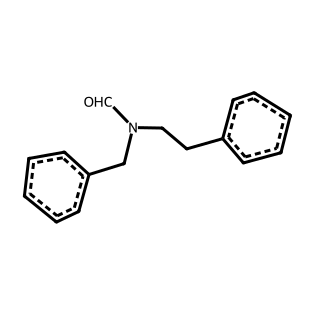 O=CN(CCc1ccccc1)Cc1ccccc1